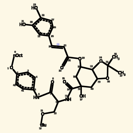 CCCCCCCCOc1ccc(NC(=O)C(COC(C)(C)C)NC(=O)C2(O)CC(OC(=O)/C=C/c3ccc(O)c(O)c3)C3OC(C)(C)OC3C2)cc1